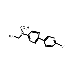 CC(C)(C)CN(C(=O)O)c1ccc(-c2ccc(Br)nc2)cn1